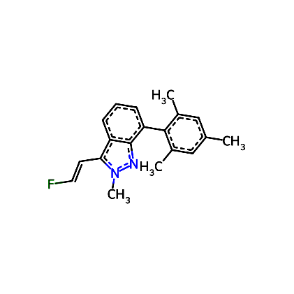 Cc1cc(C)c(-c2cccc3c(/C=C/F)n(C)nc23)c(C)c1